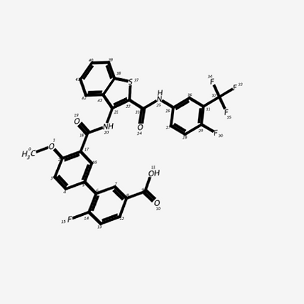 COc1ccc(-c2cc(C(=O)O)ccc2F)cc1C(=O)Nc1c(C(=O)Nc2ccc(F)c(C(F)(F)F)c2)sc2ccccc12